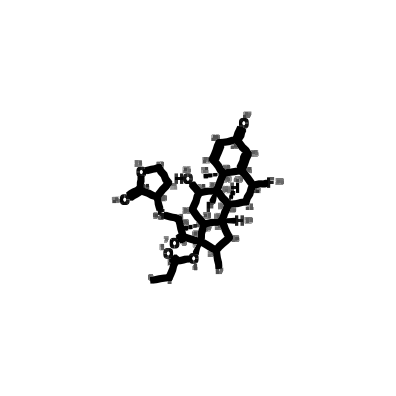 CCC(=O)O[C@]1(C(=O)CSC2CCOC2=O)C(C)C[C@H]2[C@@H]3CC(F)C4=CC(=O)C=C[C@]4(C)[C@@]3(F)C(O)C[C@@]21C